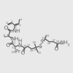 C=C/C(=C\C)NC(=O)[C@H](C)NC(=O)[C@@H](NC(=O)CCC(C)(C)SSC(C)CCC(N)=O)C(C)C